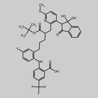 COc1ccc(N2C(=O)c3ccccc3C2(O)O)c(CN(CCCc2cc(F)ccc2Nc2ccc(C(F)(F)F)cc2C(=O)O)C(=O)OC(C)(C)C)n1